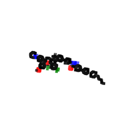 CCCCC[C@H]1CC[C@H](c2ccc(-c3ccc(C(=O)Nc4ccc(-c5ccc6c(c5)-c5c(c7c(c8c(F)cc(F)cc58)OC(c5ccc(OC)cc5)(c5ccc(N8CCCCC8)cc5)C=C7)C6(C)C)cc4)cc3)cc2)CC1